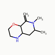 C=C1C2OCCNC2CC(C)N1C